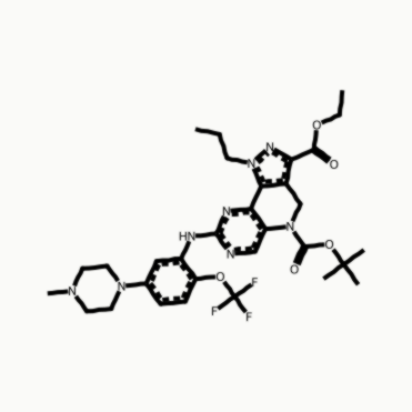 CCCn1nc(C(=O)OCC)c2c1-c1nc(Nc3cc(N4CCN(C)CC4)ccc3OC(F)(F)F)ncc1N(C(=O)OC(C)(C)C)C2